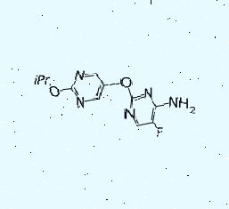 CC(C)Oc1ncc(Oc2ncc(F)c(N)n2)cn1